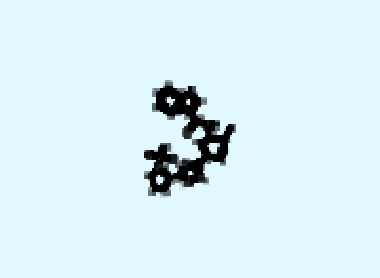 Cc1ccc(-c2noc([C@H]3CCCN3S(C)(=O)=O)n2)cc1NC(=O)c1cnc2ccccn12